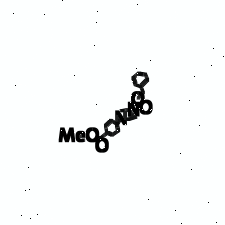 COC(=O)c1ccc(N2CC3CC2CN3C(=O)OCc2ccccc2)cc1